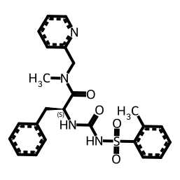 Cc1ccccc1S(=O)(=O)NC(=O)N[C@@H](Cc1ccccc1)C(=O)N(C)Cc1ccccn1